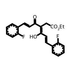 CCOC(=O)CC(C(=O)/C=C/c1ccccc1F)=C(O)C=Cc1ccccc1F